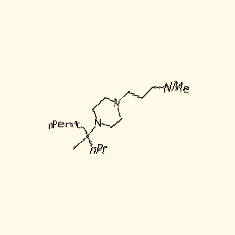 CCCCCC(C)(CCC)N1CCN(CCCNC)CC1